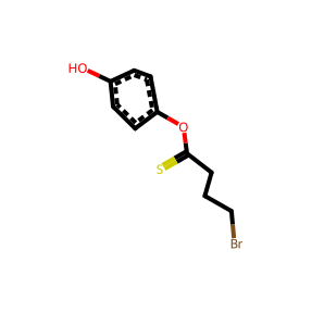 Oc1ccc(OC(=S)CCCBr)cc1